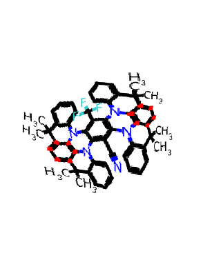 CC1(C)c2ccccc2N(c2c(C#N)c(N3c4ccccc4C(C)(C)c4ccccc43)c(N3c4ccccc4C(C)(C)c4ccccc43)c(C(F)(F)F)c2N2c3ccccc3C(C)(C)c3ccccc32)c2ccccc21